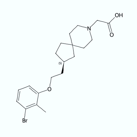 Cc1c(Br)cccc1OCC[C@H]1CCC2(CCN(CC(=O)O)CC2)C1